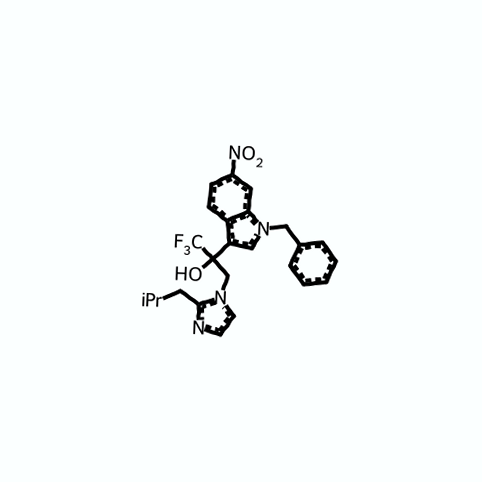 CC(C)Cc1nccn1CC(O)(c1cn(Cc2ccccc2)c2cc([N+](=O)[O-])ccc12)C(F)(F)F